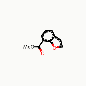 COC(=O)c1cccc2ccoc12